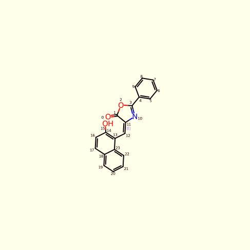 O=C1OC(c2ccccc2)=N/C1=C/c1c(O)ccc2ccccc12